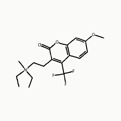 CC[N+](C)(CC)CCc1c(C(F)(F)F)c2ccc(OC)cc2oc1=O